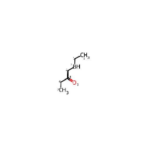 CCBCC(=O)CC